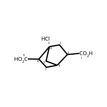 Cl.O=C(O)C1CC2CC1CC2C(=O)O